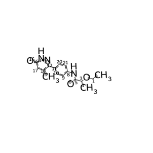 CCOC(C)C(=O)Nc1ccc(-c2n[nH]c(=O)cc2C)cc1